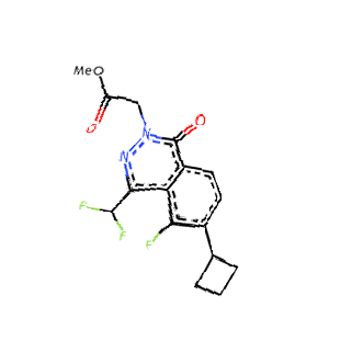 COC(=O)Cn1nc(C(F)F)c2c(F)c(C3CCC3)ccc2c1=O